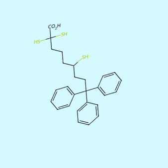 O=C(O)C(S)(S)CCCC(S)CCC(c1ccccc1)(c1ccccc1)c1ccccc1